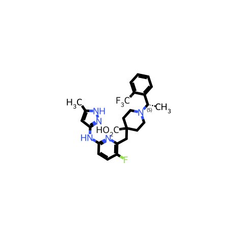 Cc1cc(Nc2ccc(F)c(CC3(C(=O)O)CCN([C@@H](C)c4ccccc4C(F)(F)F)CC3)n2)n[nH]1